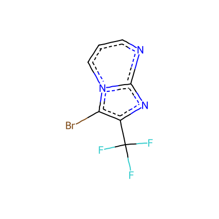 FC(F)(F)c1nc2ncccn2c1Br